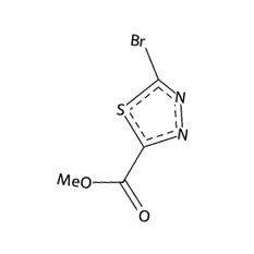 COC(=O)c1nnc(Br)s1